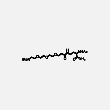 CNCCOCCOCCOCCC(=O)NCCC(NC(C)=O)C(N)=O